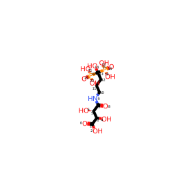 O=C(O)C(O)[C@H](O)C(=O)NCCCC(O)(P(=O)(O)O)P(=O)(O)O